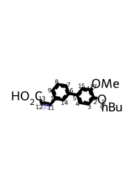 CCCCOc1ccc(-c2cccc(/C=C\C(=O)O)c2)cc1OC